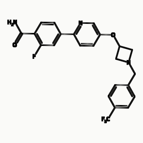 NC(=O)c1ccc(-c2ccc(OC3CN(Cc4ccc(C(F)(F)F)cc4)C3)cn2)cc1F